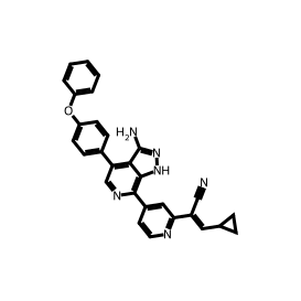 N#CC(=CC1CC1)c1cc(-c2ncc(-c3ccc(Oc4ccccc4)cc3)c3c(N)n[nH]c23)ccn1